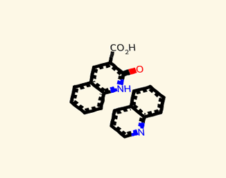 O=C(O)c1cc2ccccc2[nH]c1=O.c1ccc2ncccc2c1